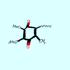 CCCCCC1=C(C)C(=O)C(OC)=C(OC)C1=O